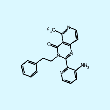 Nc1cccnc1-c1nc2ccnc(C(F)(F)F)c2c(=O)n1CCc1ccccc1